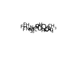 CN1C(=O)C=C[C@@]2(C)C1CC[C@@H]1[C@H]2CC[C@]2(C)C(c3csc(NCC(F)(F)F)n3)CC[C@@H]12